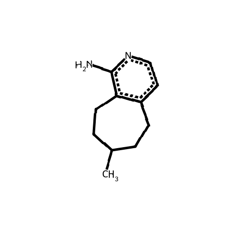 CC1CCc2ccnc(N)c2CC1